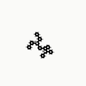 C1=C(c2cccc(-c3cc4ccccc4c4c(-c5ccccc5)cc(-c5ccccc5)nc34)c2)C=C(c2cccc(-c3ccccc3)c2)NC1c1cccc(-c2ccccc2)c1